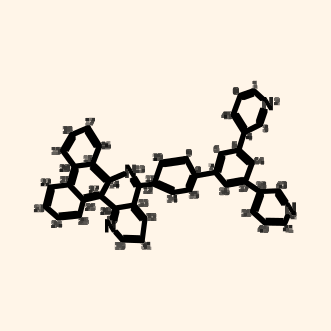 c1cncc(-c2cc(-c3ccc(-c4nc5c6ccccc6c6ccccc6c5c5ncccc45)cc3)cc(-c3cccnc3)c2)c1